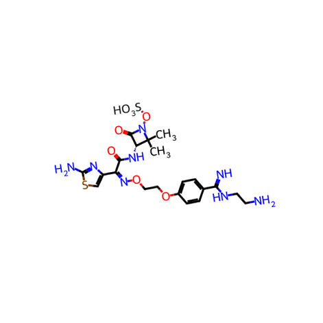 CC1(C)[C@H](NC(=O)C(=NOCCOc2ccc(C(=N)NCCN)cc2)c2csc(N)n2)C(=O)N1OS(=O)(=O)O